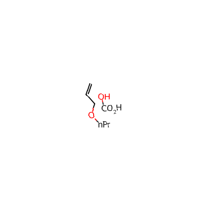 C=CCOCCC.O=C(O)O